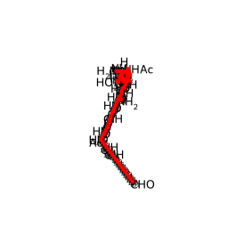 CC(=O)N[C@@H](Cc1ccccc1)C(=O)N[C@@H](CCCNC(=N)N)C(=O)N[C@@H](Cc1ccc(O)cc1)C(=O)N[C@@H](CC(=O)O)C(=O)N1CCC[C@H]1C(=O)NCC(=O)NCC(=O)NCC(=O)N[C@@H](CCCCNC(=O)COCCOCCNC(=O)COCCOCCNC(=O)CCCC(=O)N[C@@H](CCCCNC(=O)CCCC(=O)NCCCCCCCCCCCCCCCCCCCCCCCC=O)C(C)=O)C(N)=O